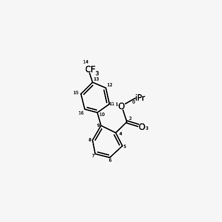 CC(C)OC(=O)c1ccccc1-c1ccc(C(F)(F)F)cc1